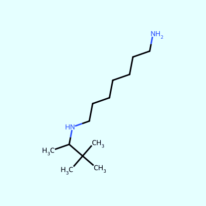 CC(NCCCCCCCN)C(C)(C)C